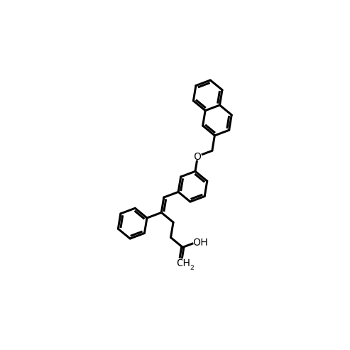 C=C(O)CC/C(=C\c1cccc(OCc2ccc3ccccc3c2)c1)c1ccccc1